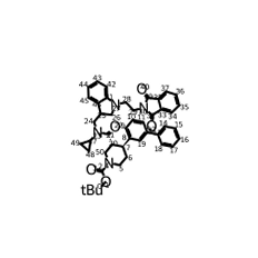 CC(C)(C)OC(=O)N1CC[C@H](c2cccc(-c3ccccc3)c2)[C@@H](C(=O)N(CC2CN(CCN3C(=O)c4ccccc4C3=O)c3ccccc32)C2CC2)C1